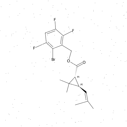 CC(C)=C[C@@H]1[C@@H](C(=O)OCc2c(F)c(F)cc(F)c2Br)C1(C)C